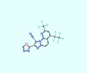 N#Cc1c(-c2nnco2)nc2ccc3c(C(F)(F)C(F)(F)F)cc(C(F)(F)F)nc3n12